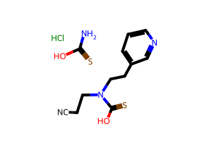 Cl.N#CCCN(CCc1cccnc1)C(O)=S.NC(O)=S